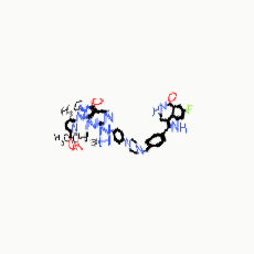 Cn1c(=O)c2cnc(Nc3ccc(N4CCN(Cc5ccc(-c6[nH]c7cc(F)cc8c7c6CCNC8=O)cc5)CC4)cc3)nc2n1-c1cccc(C(C)(C)O)n1